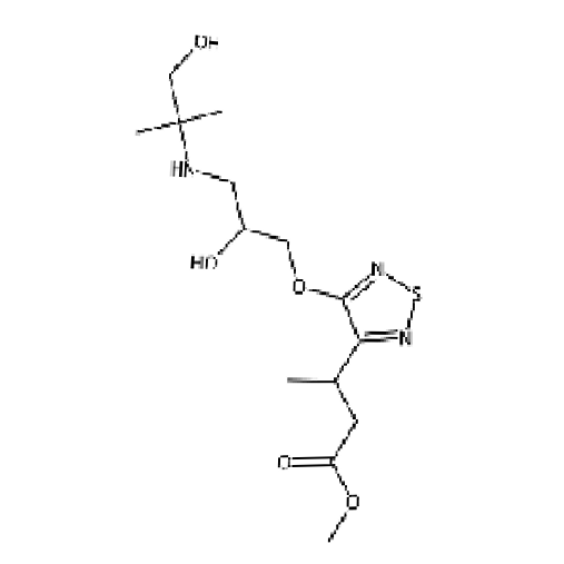 COC(=O)CC(C)c1nsnc1OCC(O)CNC(C)(C)CO